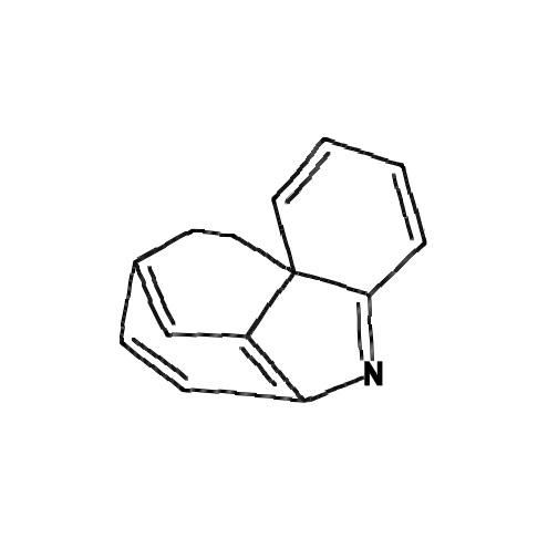 C1=CC2=Nc3ccc4cc3C2(C=C1)CC4